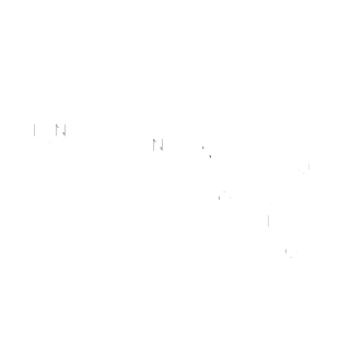 Nc1ccc2cccc(O[SH](=O)=O)c2c1N=Nc1ccccc1